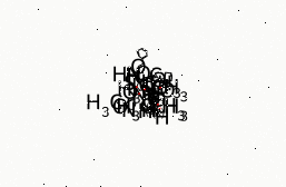 COc1cc(C(=O)NC(C(=O)N[C@](COC(=O)c2ccccc2OC)(B2OC3C[C@H]4C[C@@H](C4(C)C)[C@]3(C)O2)C(C)(C)C)c2csc(NC(=O)OCc3ccccc3)n2)ccn1